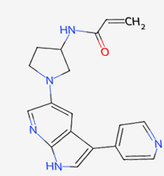 C=CC(=O)NC1CCN(c2cnc3[nH]cc(-c4ccncc4)c3c2)C1